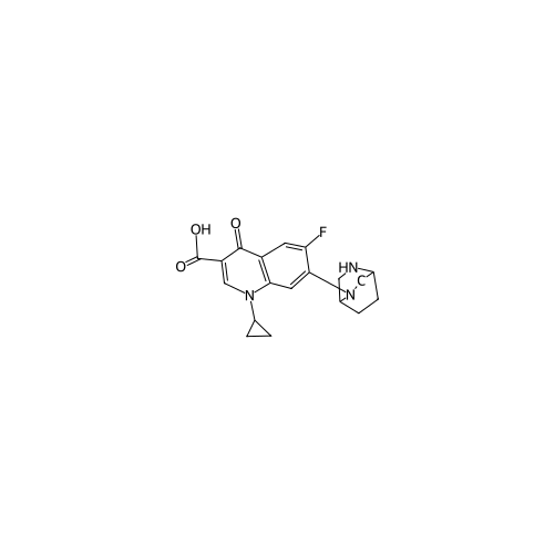 O=C(O)c1cn(C2CC2)c2cc(N3CC4CCC3CN4)c(F)cc2c1=O